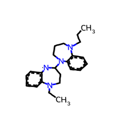 CCCN1CCCN(C2CCN(CC)c3ccccc3[N]2)c2ccccc21